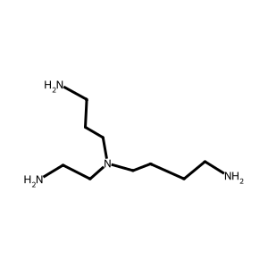 NCCCCN(CCN)CCCN